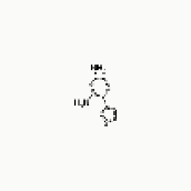 Nc1ccc(-c2ccsc2)c(N)c1